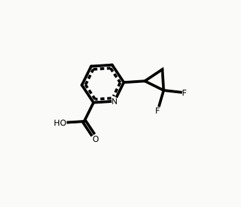 O=C(O)c1cccc(C2CC2(F)F)n1